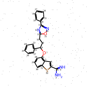 N=C(N)c1cc2c(OC(CCc3nc(-c4ccccc4)no3)c3ccccc3)cccc2s1